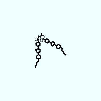 CCCCCC1CCC(c2ccc(-c3ccc(C(=O)OC(C)C(C)OC(=O)c4ccc(-c5ccc(C6CCC(CCCCC)CC6)cc5)cc4)cc3)cc2)CC1